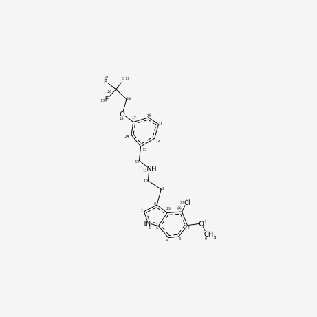 COc1ccc2[nH]cc(CCNCc3cccc(OCC(F)(F)F)c3)c2c1Cl